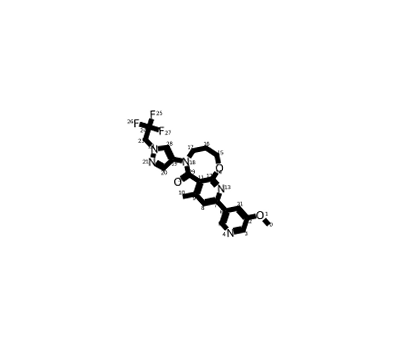 COc1cncc(-c2cc(C)c3c(n2)OCCCN(c2cnn(CC(F)(F)F)c2)C3=O)c1